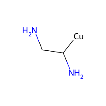 NC[CH](N)[Cu]